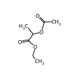 CCOC(=O)C(C)OC(C)=O